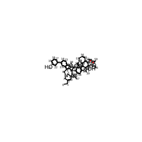 CCC1=C[C@H]2CN(C1)Cc1c([nH]c3ccc(-c4cccc(O)c4)cc13)[C@@](C(=O)OC)(c1cc3c(cc1OC)N(C)[C@H]1[C@@](O)(C(=O)OC)[C@H](OC(C)=O)[C@]4(CC)C=CCN5CC[C@]31[C@@H]54)C2